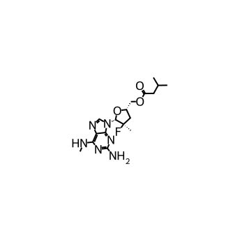 CNc1nc(N)nc2c1ncn2[C@@H]1O[C@H](COC(=O)CC(C)C)C[C@@]1(C)F